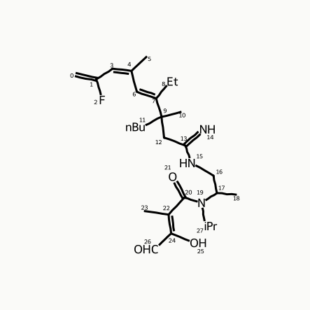 C=C(F)/C=C(C)\C=C(/CC)C(C)(CCCC)CC(=N)NCC(C)N(C(=O)/C(C)=C(\O)C=O)C(C)C